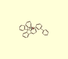 c1ccc(-c2cccc(Nc3ccccc3C3(c4ccccc4)c4ccccc4-c4ccccc43)c2)cc1